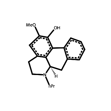 CCCN1CCc2cc(OC)c(O)c3c2[C@H]1Cc1ccccc1-3